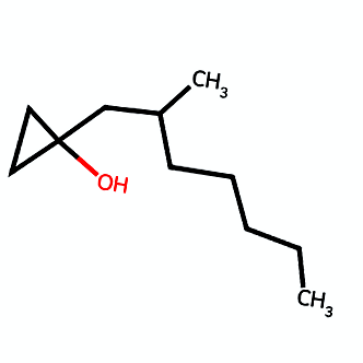 CCCCCC(C)CC1(O)CC1